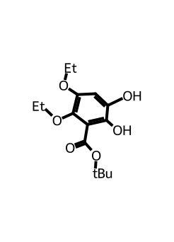 CCOc1cc(O)c(O)c(C(=O)OC(C)(C)C)c1OCC